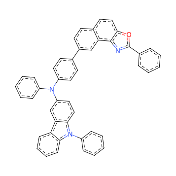 c1ccc(-c2nc3c(ccc4ccc(-c5ccc(N(c6ccccc6)c6ccc7c(c6)c6ccccc6n7-c6ccccc6)cc5)cc43)o2)cc1